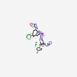 O=C(c1cc2cc(Cl)cc(NC3CCOCC3)c2[nH]1)N1C[C@@H](CN2CCCC2)[C@H](c2ccc(F)cc2F)C1